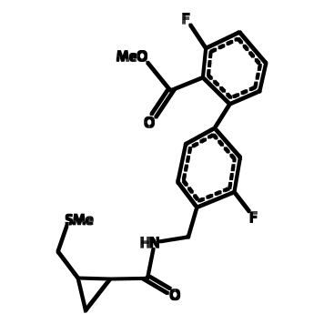 COC(=O)c1c(F)cccc1-c1ccc(CNC(=O)C2CC2CSC)c(F)c1